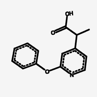 CC(C(=O)O)c1ccnc(Oc2ccccc2)c1